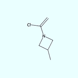 C=C(Cl)N1CC(C)C1